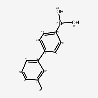 Cc1cccc(-c2ccc(B(O)O)cc2)c1